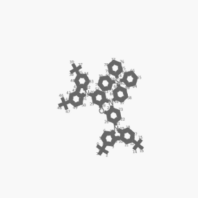 CC(C)(C)c1ccc2c(c1)c1cc(C(C)(C)C)ccc1n2-c1ccc2c(c1)Oc1cc(-n3c4ccc(C(C)(C)C)cc4c4cc(C(C)(C)C)ccc43)ccc1N2c1cccc([Si](c2ccccc2)(c2ccccc2)c2ccccc2)c1